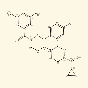 Cc1ccc(C2CN(C(=O)c3cc(C(F)(F)F)cc(C(F)(F)F)c3)CCC2N2CCN(C(=O)C3CC3)CC2)cc1